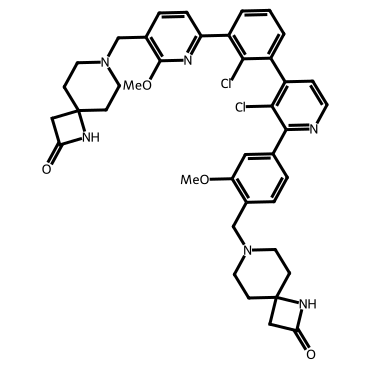 COc1cc(-c2nccc(-c3cccc(-c4ccc(CN5CCC6(CC5)CC(=O)N6)c(OC)n4)c3Cl)c2Cl)ccc1CN1CCC2(CC1)CC(=O)N2